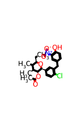 CC[C@H]1O[C@@H](c2ccc(Cl)c(Cc3ccc(O)c([N+](=O)[O-])c3)c2)[C@H](OC(C)=O)[C@@H](C)C1C